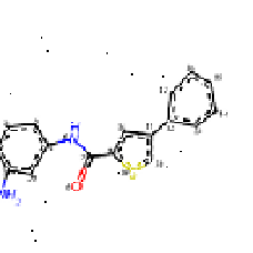 Nc1cccc(NC(=O)c2cc(-c3ccccc3)cs2)c1